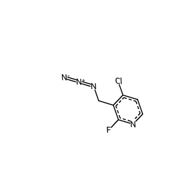 [N-]=[N+]=NCc1c(Cl)ccnc1F